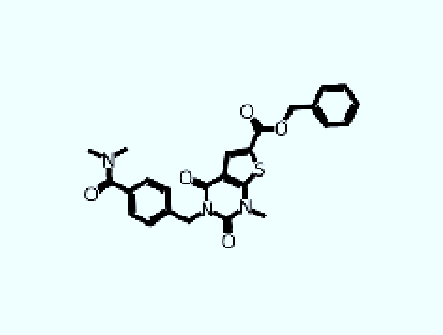 CN(C)C(=O)c1ccc(Cn2c(=O)c3cc(C(=O)OCc4ccccc4)sc3n(C)c2=O)cc1